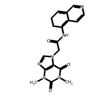 Cn1c(=O)c2c(ncn2CC(=O)NC2=c3ccncc3=CCC2)n(C)c1=O